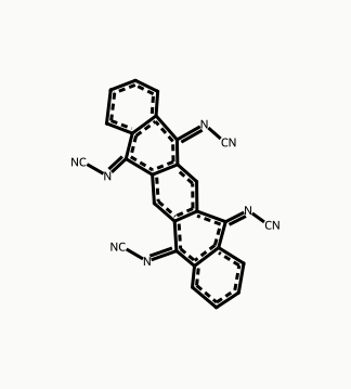 N#C/N=c1/c2ccccc2/c(=N\C#N)c2cc3/c(=N\C#N)c4ccccc4/c(=N\C#N)c3cc12